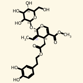 C/C=C1\[C@H](O[C@@H]2OC(CO)[C@@H](O)C(O)C2O)OC=C(C(=O)OC)[C@H]1CC(=O)OCCc1ccc(O)c(O)c1